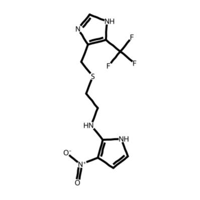 O=[N+]([O-])c1cc[nH]c1NCCSCc1nc[nH]c1C(F)(F)F